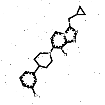 FC(F)(F)c1cccc(C2CCN(c3ccn4c(CC5CC5)nnc4c3Cl)CC2)c1